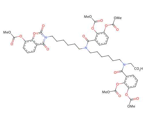 COC(=O)Oc1cccc(C(=O)N(CCCCCCN(CC(=O)O)C(=O)c2cccc(OC(=O)OC)c2OC(=O)OC)CCCCCCn2c(=O)oc3c(OC(=O)OC)cccc3c2=O)c1OC(=O)OC